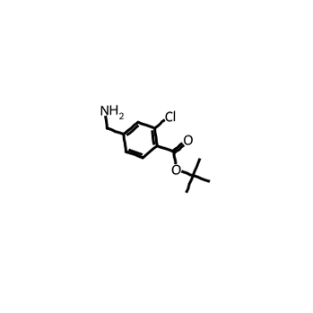 CC(C)(C)OC(=O)c1ccc(CN)cc1Cl